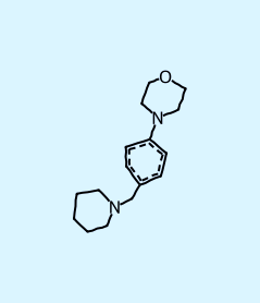 c1cc(N2CCOCC2)ccc1CN1CCCCC1